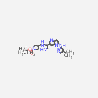 CC(C)c1cnnc(Nc2ccc3ncc(/C(C=N)=C/NCC4CCN(C(=O)OC(C)(C)C)CC4)cc3n2)c1